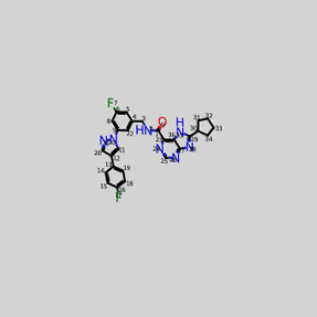 O=C(NCc1cc(F)cc(-n2cc(-c3ccc(F)cc3)cn2)c1)c1ncnc2nc(C3CCCC3)[nH]c12